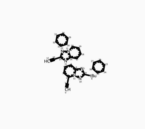 C#Cc1cccc2nc(C(C)(C)C)nn12.C#Cc1nc2ccccn2n1.c1ccccc1.c1ccccc1